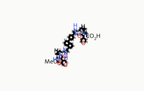 COC(=O)N[C@H](C(=O)N1[C@@H]2C[C@@H]2C[C@H]1c1nc(-c2cccc3c(-c4ccc(-c5c[nH]c([C@@H]6C[C@H]7C[C@H]7N6C(=O)[C@H](C6CCOCC6)N(C)C(=O)O)n5)cc4)cccc23)c[nH]1)C1CCOCC1